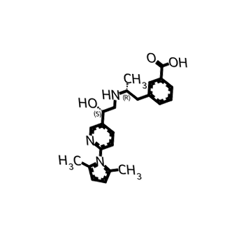 Cc1ccc(C)n1-c1ccc([C@H](O)CN[C@H](C)Cc2cccc(C(=O)O)c2)cn1